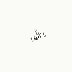 O.[AlH3].[MgH2].[V]